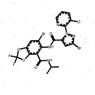 CC(C)NC(=O)c1c(NC(=O)c2cc(Br)nn2-c2ncccc2Cl)c(Br)cc2c1OC(F)(F)O2